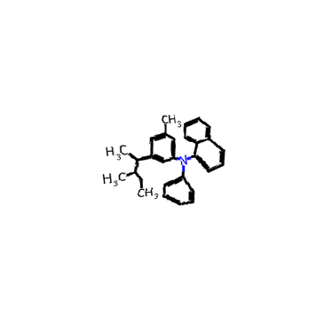 CCC(C)C(C)c1cc(C)cc(N(c2ccccc2)c2cccc3ccccc23)c1